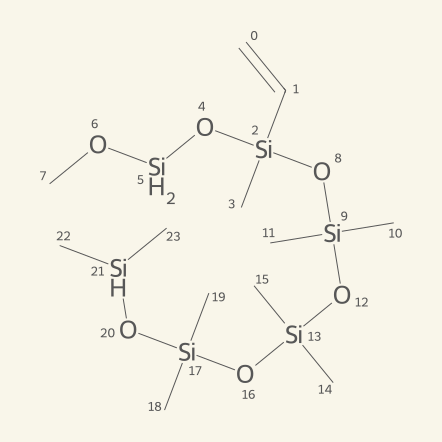 C=C[Si](C)(O[SiH2]OC)O[Si](C)(C)O[Si](C)(C)O[Si](C)(C)O[SiH](C)C